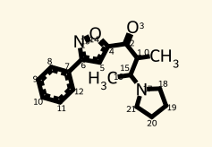 CC(C(=O)c1cc(-c2ccccc2)no1)C(C)N1CCCC1